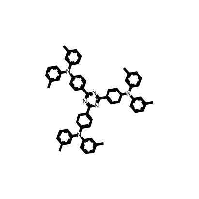 Cc1cccc(N(C2=CC=C(c3nc(C4=CCC(N(c5cccc(C)c5)c5cccc(C)c5)C=C4)nc(-c4ccc(N(c5cccc(C)c5)c5cccc(C)c5)cc4)n3)CC2)c2cccc(C)c2)c1